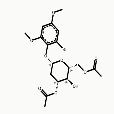 COc1cc(Br)c(O[C@H]2C[C@@H](OC(C)=O)[C@H](O)[C@@H](COC(C)=O)O2)c(OC)c1